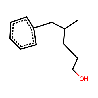 CC(CCCO)Cc1ccccc1